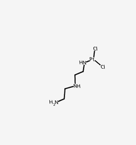 NCCNCC[NH][Pt]([Cl])[Cl]